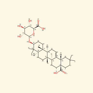 CC1(C)CC[C@]2(C(=O)O)CC[C@]3(C)C(=CC[C@@H]4[C@@]5(C)CC[C@H](OC6O[C@H](C(=O)O)[C@@H](O)[C@H](O)[C@H]6O)C(C)(C)[C@@H]5CC[C@]43C)[C@@H]2C1